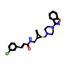 C=C1[C@H](CNC(=O)/C=C/c2cccc(Cl)c2)[C@H]1CN1CCN(c2nsc3ccccc23)CC1